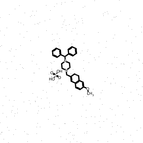 COc1ccc2c(c1)CCC(CN1CCN(C(c3ccccc3)c3ccccc3)CC1)=C2.O=S(=O)(O)O